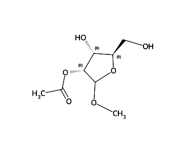 COC1O[C@H](CO)[C@@H](O)[C@H]1OC(C)=O